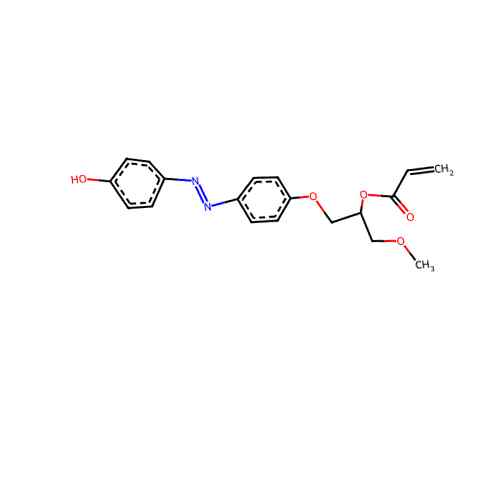 C=CC(=O)OC(COC)COc1ccc(N=Nc2ccc(O)cc2)cc1